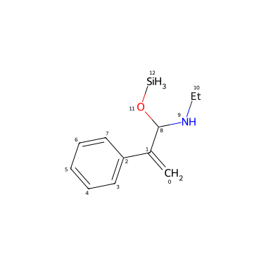 C=C(c1ccccc1)C(NCC)O[SiH3]